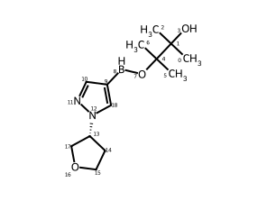 CC(C)(O)C(C)(C)OBc1cnn([C@@H]2CCOC2)c1